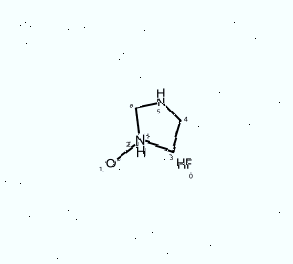 F.[O-][NH+]1CCNC1